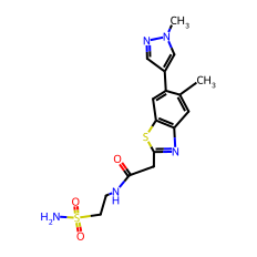 Cc1cc2nc(CC(=O)NCCS(N)(=O)=O)sc2cc1-c1cnn(C)c1